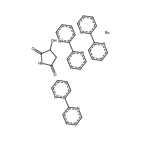 O=C1CC(O)C(=O)N1.[Ru].c1ccc(-c2ccccn2)nc1.c1ccc(-c2ccccn2)nc1.c1ccc(-c2ccccn2)nc1